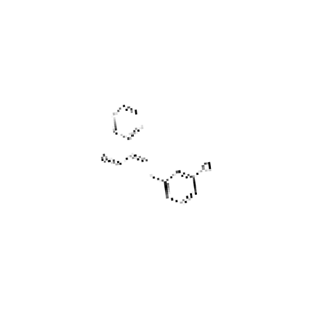 O=CC(=CCc1cccc(Cl)c1)c1ccccc1